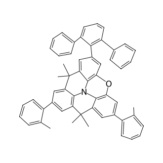 Cc1ccccc1-c1cc2c3c(c1)C(C)(C)c1cc(-c4ccccc4C)cc4c1N3c1c(cc(-c3c(-c5ccccc5)cccc3-c3ccccc3)cc1C4(C)C)O2